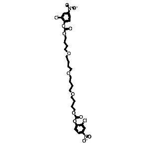 O=C(OCCCCOCCCCOCCCCOCCCCOC(=O)Oc1ccc([N+](=O)[O-])cc1Cl)Oc1ccc([N+](=O)[O-])cc1Cl